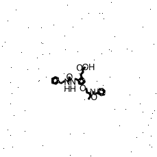 Cc1oc(-c2ccccc2)nc1CCOc1ccc(CCC(=O)O)c(CNC(=O)NCCc2ccccc2)c1